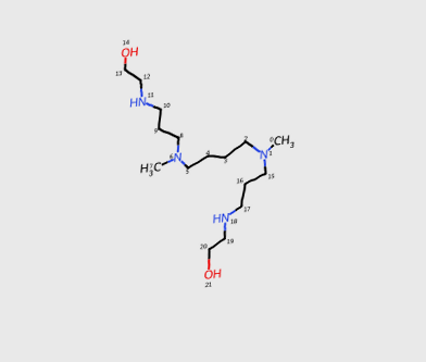 CN(CCCCN(C)CCCNCCO)CCCNCCO